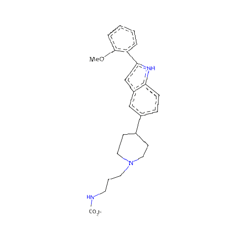 COc1ccccc1-c1cc2cc(C3CCN(CCCNC(=O)O)CC3)ccc2[nH]1